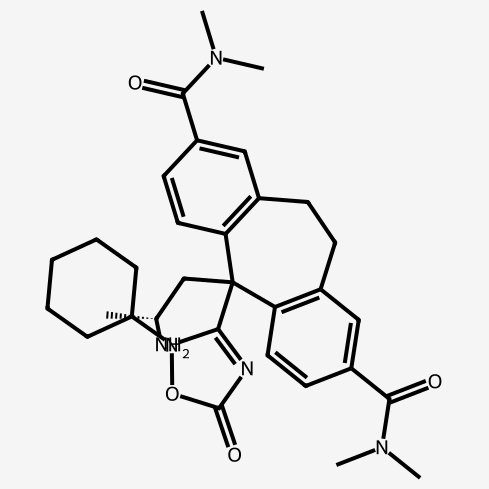 C[C@@H](N)CC1(c2nc(=O)on2C2CCCCC2)c2ccc(C(=O)N(C)C)cc2CCc2cc(C(=O)N(C)C)ccc21